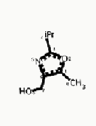 Cc1oc(C(C)C)nc1CO